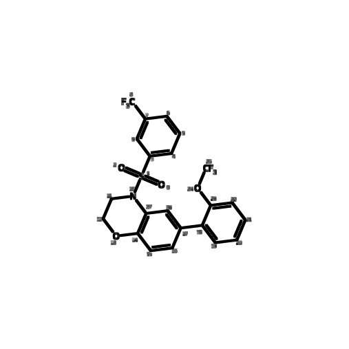 O=S(=O)(c1cccc(C(F)(F)F)c1)N1CCOc2ccc(-c3ccccc3OC(F)(F)F)cc21